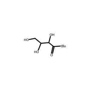 CC(C)(C)C(=O)C(O)C(O)CO